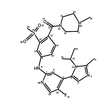 Cc1ncc(-c2nc(Nc3ccc(C(=O)N4CCN(C)CC4)c(S(C)(=O)=O)c3)ncc2F)n1C(C)C